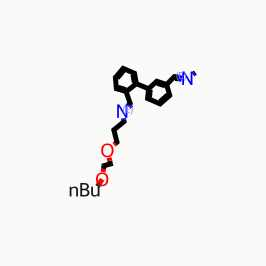 CCCCOCCOCCC/N=C/c1ccccc1-c1cccc(/C=N/C)c1